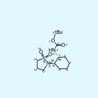 CC(C)(C)OC(=O)N[C@@H]1CCCC[C@H]1N1CCCS1(=O)=O